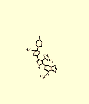 COc1cc(-c2[nH]nc(-c3nc(C)c(C4CCNCC4)s3)c2C(C)C)cn2ncnc12